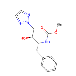 CC(C)(C)OC(=O)N[C@H](Cc1ccccc1)[C@@H](O)Cn1nccn1